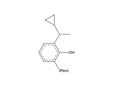 CCCC(C)c1cccc(C(C)C2CC2)c1O